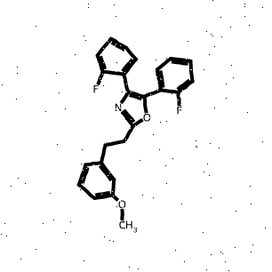 COc1cccc(CCc2nc(-c3ccccc3F)c(-c3ccccc3F)o2)c1